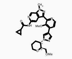 COC[C@H]1OCCC[C@@H]1n1cc(-c2ccnc(-c3nn(C)c4cnc(NC(=O)C5CC5)cc34)c2OC)cn1